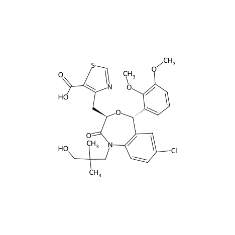 COc1cccc([C@H]2O[C@H](Cc3ncsc3C(=O)O)C(=O)N(CC(C)(C)CO)c3ccc(Cl)cc32)c1OC